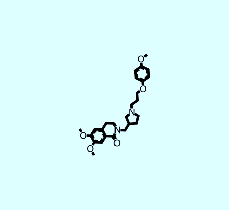 COc1ccc(OCCCN2CCC(CN3CCc4cc(OC)c(OC)cc4C3=O)C2)cc1